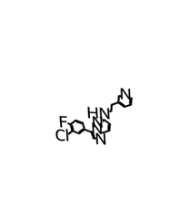 Fc1ccc(-c2cnc3ccc(NCCc4cccnc4)nn23)cc1Cl